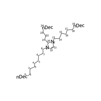 CCCCCCCCCCCCCCCCCCN1C=CN(CCCCCCCCCCCCCCCC)C1CCCCCCCCCCCCC